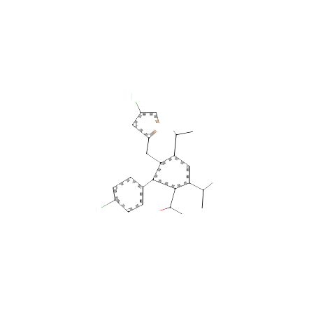 CC(C)c1cc(C(C)C)c(C(C)O)c(-c2ccc(F)cc2)c1Cc1cc(F)cs1